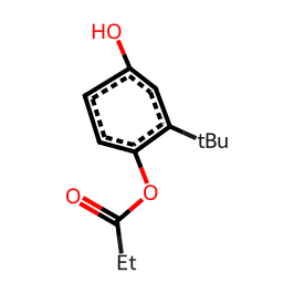 CCC(=O)Oc1ccc(O)cc1C(C)(C)C